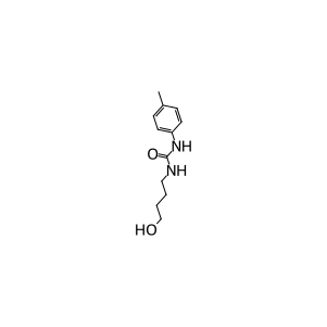 Cc1ccc(NC(=O)NCCCCO)cc1